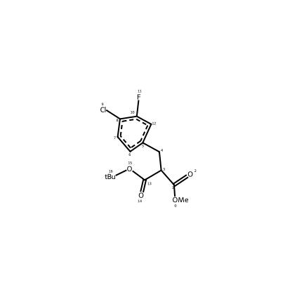 COC(=O)C(Cc1ccc(Cl)c(F)c1)C(=O)OC(C)(C)C